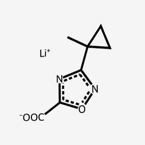 CC1(c2noc(C(=O)[O-])n2)CC1.[Li+]